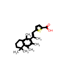 CC(=Cc1ccc(C(=O)O)s1)c1c(C)c(C)c2c(c1C)CCCC2(C)C